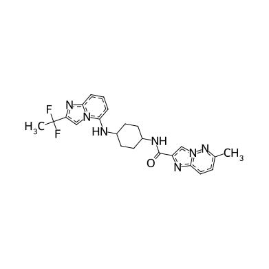 Cc1ccc2nc(C(=O)NC3CCC(Nc4cccc5nc(C(C)(F)F)cn45)CC3)cn2n1